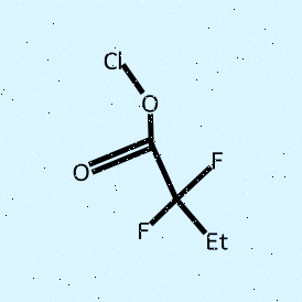 CCC(F)(F)C(=O)OCl